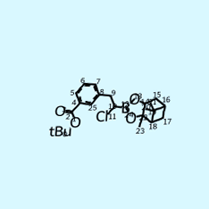 CC(C)(C)OC(=O)c1cccc(CC(Cl)B2OC3CC4CC(C4(C)C)C3(C)O2)c1